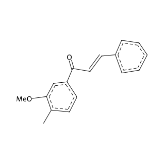 COc1cc(C(=O)/C=C/c2ccccc2)ccc1C